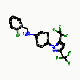 FC(F)(F)c1cc(C(F)(F)F)n(-c2ccc(NCc3ccccc3Cl)cc2)n1